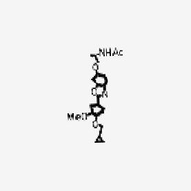 COc1cc(-c2nc3ccc(OC[C@H](C)NC(C)=O)cc3o2)ccc1OCC1CC1